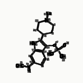 CCN1CCC(c2[nH]c3cc(NC=O)ccc3c2OP(=O)(O)O)CC1